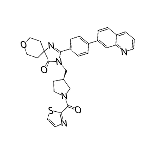 O=C(c1nccs1)N1CC[C@@H](CN2C(=O)C3(CCOCC3)N=C2c2ccc(-c3ccc4cccnc4c3)cc2)C1